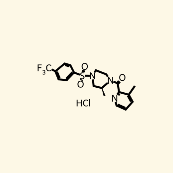 Cc1cccnc1C(=O)N1CCN(S(=O)(=O)c2ccc(C(F)(F)F)cc2)C[C@@H]1C.Cl